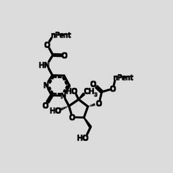 CCCCCOC(=O)Nc1ccn([C@]2(O)O[C@H](CO)[C@@H](OC(=O)OCCCCC)[C@@]2(C)O)c(=O)n1